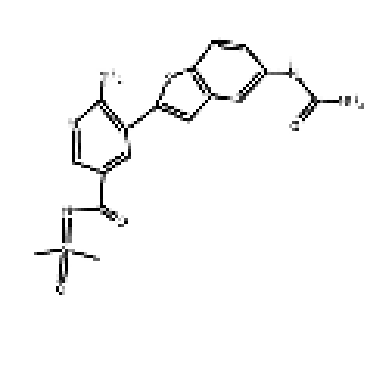 CS(C)(=O)=NC(=O)c1cnc(N)c(-c2cc3cc(NC(N)=O)ccc3s2)c1